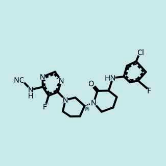 N#CNc1ncnc(N2CCC[C@@H](N3CCCC(Nc4cc(F)cc(Cl)c4)C3=O)C2)c1F